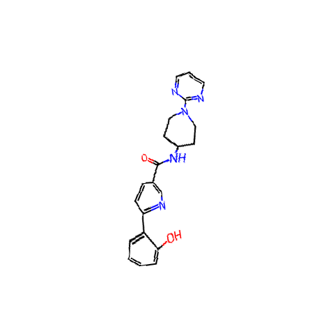 O=C(NC1CCN(c2ncccn2)CC1)c1ccc(-c2ccccc2O)nc1